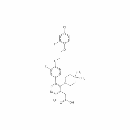 Cc1ncc(-c2cnc(OCCOc3ccc(Cl)cc3F)c(F)c2)c(N2CCC(C)(C)CC2)c1CC(=O)O